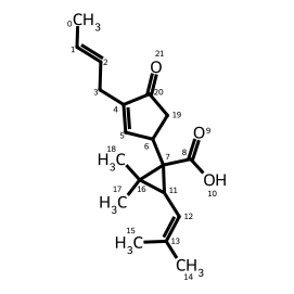 CC=CCC1=CC(C2(C(=O)O)C(C=C(C)C)C2(C)C)CC1=O